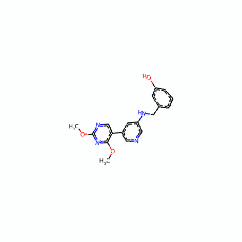 COc1ncc(-c2cncc(NCc3cccc(O)c3)c2)c(OC)n1